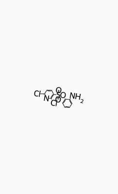 Nc1ccccc1OS(=O)(=O)c1ccc(Cl)nc1Cl